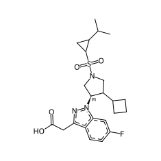 CC(C)C1CC1S(=O)(=O)N1CC(C2CCC2)[C@@H](n2nc(CC(=O)O)c3ccc(F)cc32)C1